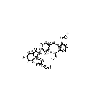 CCCc1nnc(COC)n1Cc1ccc(-c2nc3ccccn3c2OC(=O)O)cc1